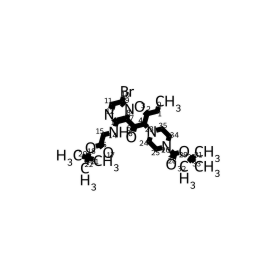 CCC(=O)C(C(=O)c1nc(Br)cnc1NCC(=O)OC(C)(C)C)N1CCN(C(=O)OC(C)(C)C)CC1